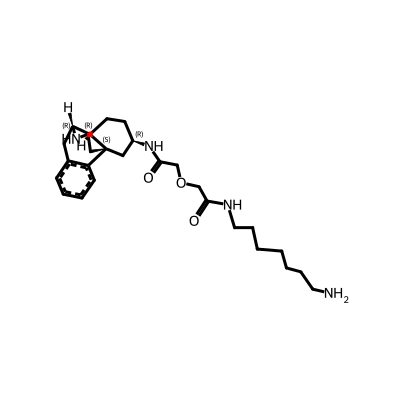 NCCCCCCCNC(=O)COCC(=O)N[C@@H]1CC[C@H]2[C@H]3Cc4ccccc4[C@@]2(CCN3)C1